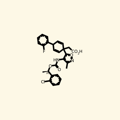 Cc1noc(C2(CC(=O)O)C=CC(c3ccccc3F)C=C2)c1NC(=O)O[C@H](C)c1ccccc1Cl